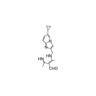 CC(=N)/C(C=O)=C(/C)NCc1cn2cc(C3CC3)ccc2n1